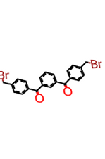 O=C(c1ccc(CBr)cc1)c1cccc(C(=O)c2ccc(CBr)cc2)c1